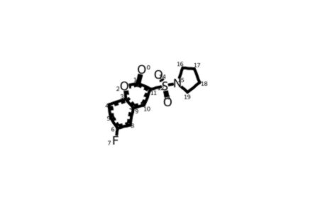 O=c1oc2ccc(F)cc2cc1S(=O)(=O)N1CCCC1